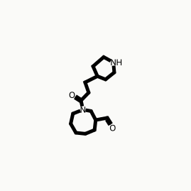 O=CC1CCCCCN(C(=O)CCC2CCNCC2)C1